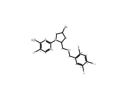 Nc1nc(N2CC(S)CC2COCc2cc(F)c(F)cc2F)ncc1F